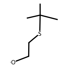 CC(C)(C)SCC[O]